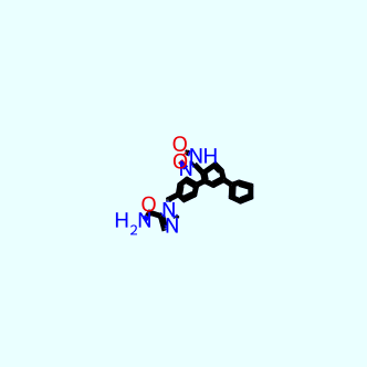 NC(=O)c1cncn1Cc1ccc(-c2cc(-c3ccccc3)ccc2-c2noc(=O)[nH]2)cc1